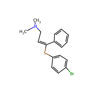 CN(C)C/C=C(/Sc1ccc(Br)cc1)c1ccccc1